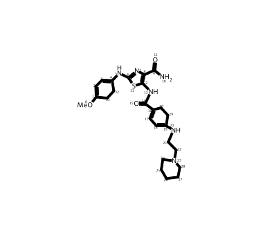 COC1=CC=C(Nc2nc(C(N)=O)c(NC(=O)C3=CC=C(NCCN4CCCCC4)CC3)s2)CC1